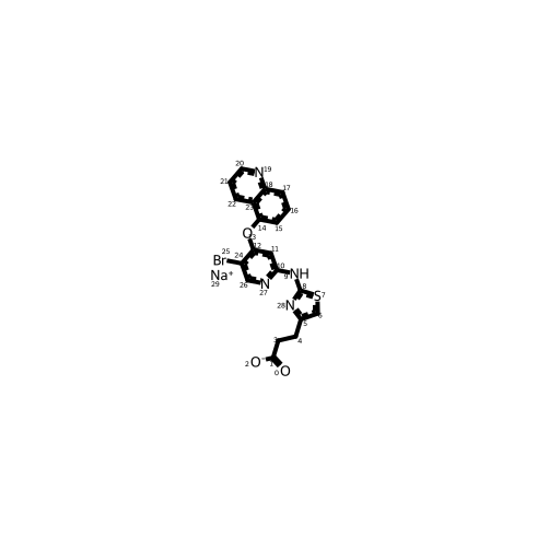 O=C([O-])CCc1csc(Nc2cc(Oc3cccc4ncccc34)c(Br)cn2)n1.[Na+]